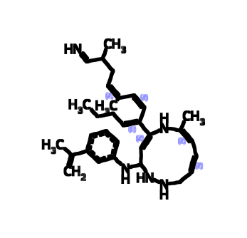 C=C(C)c1cccc(NC2/C=C(C(/C=C\C(C)=C/CC(C)C=N)=C/CCC)\N/C(C)=C\C=C/CNN2)c1